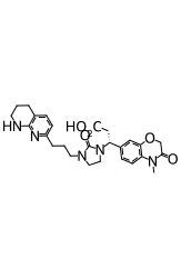 CN1C(=O)COc2cc([C@@H](CC(=O)O)N3CCN(CCCc4ccc5c(n4)NCCC5)C3=O)ccc21